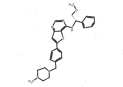 COC[C@@H](Nc1ncnc2cc(-c3ccc(CN4CCN(C)CC4)cc3)sc12)c1ccccc1